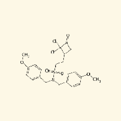 COc1ccc(CN(Cc2ccc(OC)cc2)S(=O)(=O)CCC2CC(=O)C2(Cl)Cl)cc1